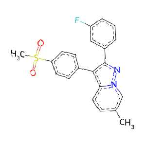 Cc1ccc2c(-c3ccc(S(C)(=O)=O)cc3)c(-c3cccc(F)c3)nn2c1